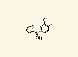 Cc1ccc(B(O)c2cccs2)cc1Cl